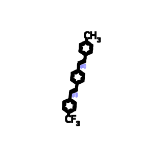 Cc1ccc(/C=C/c2ccc(/C=C/c3ccc(C(F)(F)F)cc3)cc2)cc1